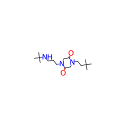 CC(C)(C)CCN1CC(=O)N(CCCNC(C)(C)C)CC1=O